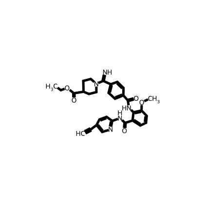 C#Cc1ccc(NC(=O)c2cccc(OC)c2NC(=O)c2ccc(C(=N)N3CCC(C(=O)OCC)CC3)cc2)nc1